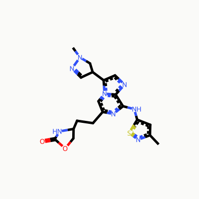 Cc1cc(Nc2nc(CCC3COC(=O)N3)cn3c(C4C=NN(C)C4)cnc23)sn1